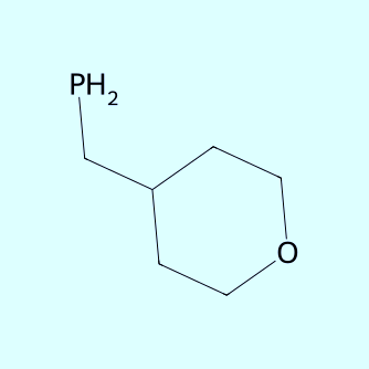 PCC1CCOCC1